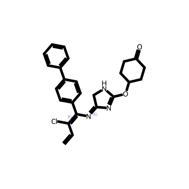 C=C/C(Cl)=C(\N=C1/CNC(OC2CCC(=O)CC2)=N1)c1ccc(-c2ccccc2)cc1